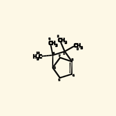 CC1(C)C2=CCC(C2)C1(C)C